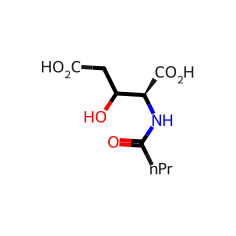 CCCC(=O)N[C@H](C(=O)O)C(O)CC(=O)O